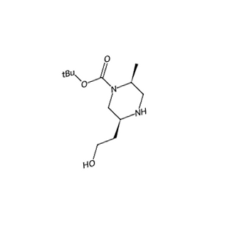 C[C@H]1CN[C@@H](CCO)CN1C(=O)OC(C)(C)C